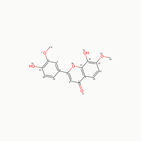 COc1cc(-c2cc(=O)c3ccc(OC)c(O)c3o2)ccc1O